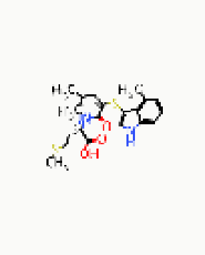 CSCC[C@H](NC(=O)[C@@H](CC(C)C)Sc1c[nH]c2cccc(C)c12)C(=O)O